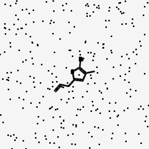 C=CCc1cc(C)c(Br)s1